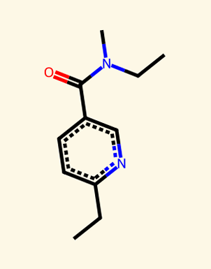 CCc1ccc(C(=O)N(C)CC)cn1